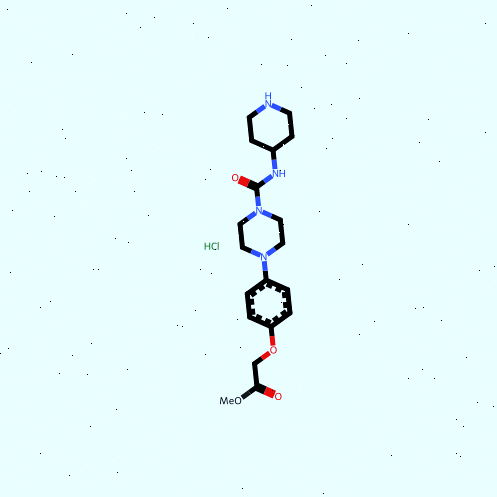 COC(=O)COc1ccc(N2CCN(C(=O)NC3CCNCC3)CC2)cc1.Cl